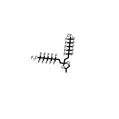 CC1COC(CCC(F)(F)C(F)(F)C(F)(F)C(F)(F)C(F)(F)C(F)(F)F)(CCC(F)(F)C(F)(F)C(F)(F)C(F)(F)C(F)(F)C(F)(F)F)O1